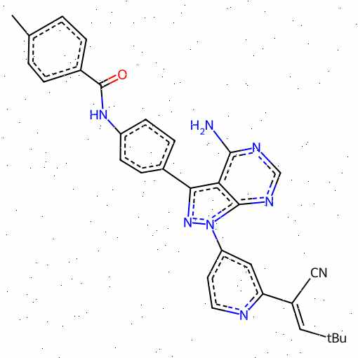 Cc1ccc(C(=O)Nc2ccc(-c3nn(-c4ccnc(/C(C#N)=C/C(C)(C)C)c4)c4ncnc(N)c34)cc2)cc1